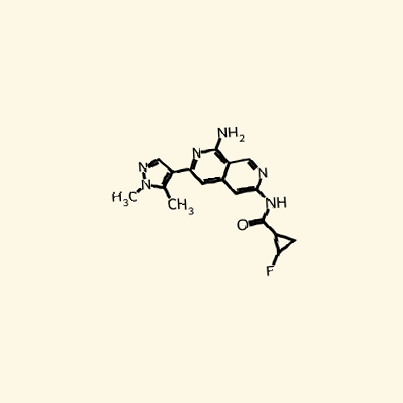 Cc1c(-c2cc3cc(NC(=O)C4CC4F)ncc3c(N)n2)cnn1C